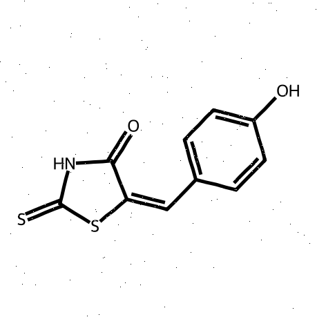 O=C1NC(=S)SC1=Cc1ccc(O)cc1